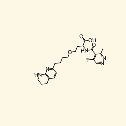 Cc1nncc(F)c1C(=O)N[C@@H](CCOCCCCc1ccc2c(n1)NCCC2)C(=O)O